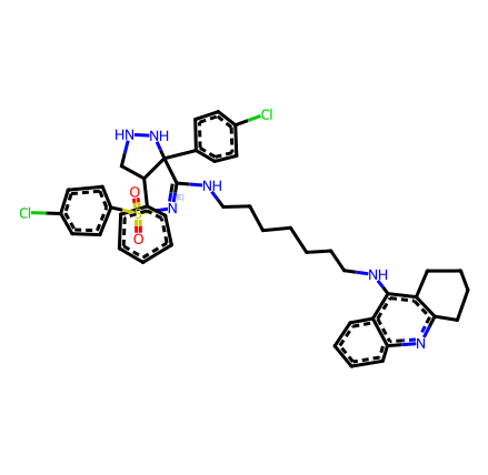 O=S(=O)(/N=C(/NCCCCCCCNc1c2c(nc3ccccc13)CCCC2)C1(c2ccc(Cl)cc2)NNCC1c1ccccc1)c1ccc(Cl)cc1